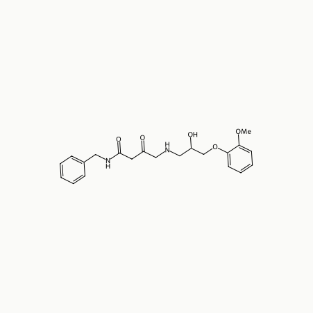 COc1ccccc1OCC(O)CNCC(=O)CC(=O)NCc1ccccc1